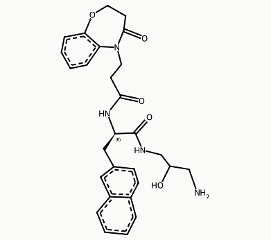 NCC(O)CNC(=O)[C@@H](Cc1ccc2ccccc2c1)NC(=O)CCN1C(=O)CCOc2ccccc21